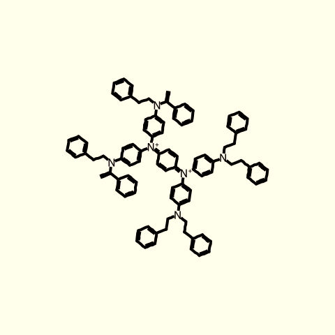 C=C(c1ccccc1)N(CCc1ccccc1)c1ccc([N+](=C2C=CC(=[N+](c3ccc(N(CCc4ccccc4)CCc4ccccc4)cc3)c3ccc(N(CCc4ccccc4)CCc4ccccc4)cc3)C=C2)c2ccc(N(CCc3ccccc3)C(=C)c3ccccc3)cc2)cc1